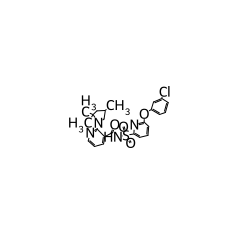 CC1CN(c2ncccc2C(=O)NS(=O)(=O)c2cccc(Oc3cccc(Cl)c3)n2)C(C)(C)C1